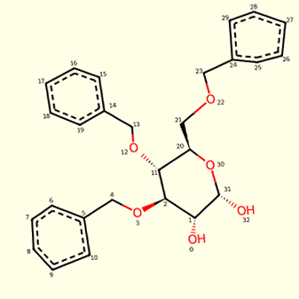 O[C@@H]1[C@@H](OCc2ccccc2)[C@H](OCc2ccccc2)[C@@H](COCc2ccccc2)O[C@@H]1O